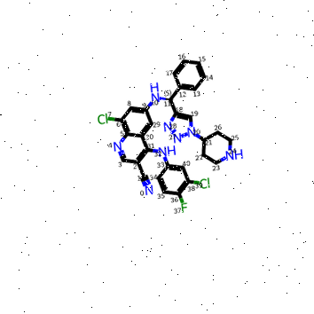 N#Cc1cnc2c(Cl)cc(N[C@@H](c3ccccc3)c3cn(C4CCNCC4)nn3)cc2c1Nc1ccc(F)c(Cl)c1